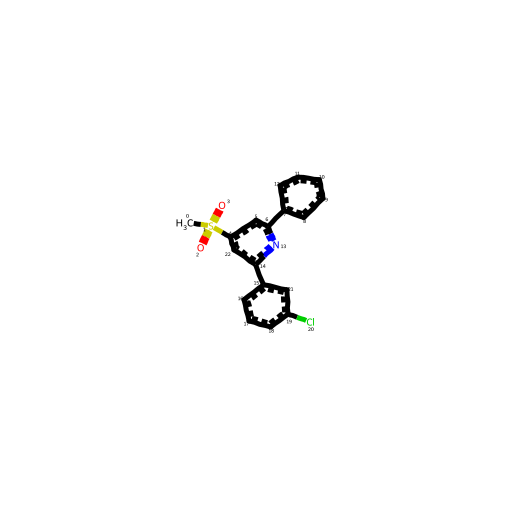 CS(=O)(=O)c1cc(-c2ccccc2)nc(-c2cccc(Cl)c2)c1